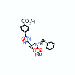 CC(C)(C)OC(=O)N(CC1(c2noc(-c3ccc(C(=O)O)cc3)n2)CC1)[C@H]1C[C@@H]1c1ccccc1